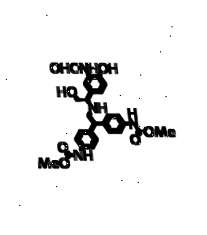 COC(=O)Nc1ccc(C(CN[C@@H](CO)c2ccc(O)c(NC=O)c2)c2ccc(NC(=O)OC)cc2)cc1